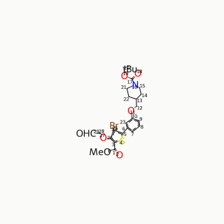 COC(=O)c1sc(-c2cccc(OCC3CCN(C(=O)OC(C)(C)C)CC3)c2)c(Br)c1OCC=O